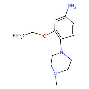 CCOC(=O)COc1cc(N)ccc1N1CCN(C)CC1